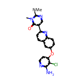 CNc1ncc(-c2ccc3cc(Oc4ccnc(N)c4Cl)ccc3n2)c(=O)n1C